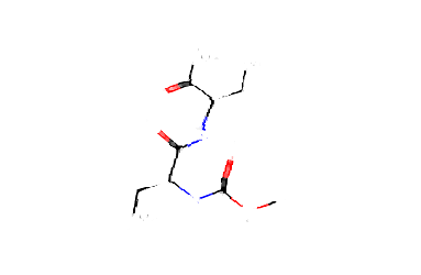 COC[C@H](NC(=O)OC(C)(C)C)C(=O)N[C@H](CSC)C(=O)OC